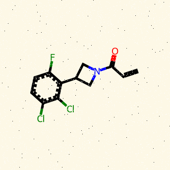 C=CC(=O)N1CC(c2c(F)ccc(Cl)c2Cl)C1